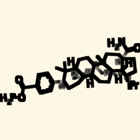 CC(C)[C@@H]1CC[C@]2(C(N)=O)CC[C@]3(C)[C@H](CC[C@@H]4[C@@]5(C)CC[C@H](c6ccc(C(=O)OP)cc6)C(C)(C)[C@@H]5CC[C@]43C)[C@@H]12